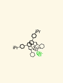 CC(C)c1ccc(-c2cccc3c2C=C(C2CCCCC2)[CH]3[Zr+2]2([CH]3C(C4CCCCC4)=Cc4c(-c5ccc(C(C)C)cc5)cccc43)[CH2]C[CH2]2)cc1.[Cl-].[Cl-]